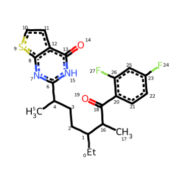 CCC(CCC(C)c1nc2sccc2c(=O)[nH]1)C(C)C(=O)c1ccc(F)cc1F